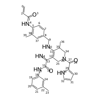 C=CC(=O)Nc1ccc(CNC2=C(C(=N)C(=O)Nc3cccc(C)c3)CN(C(=O)c3ccc[nH]3)CC2C)cc1C